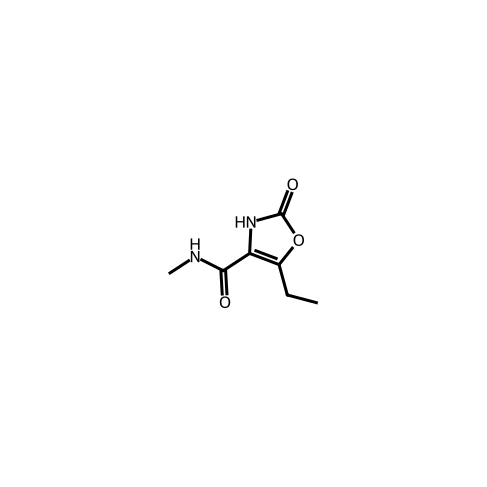 CCc1oc(=O)[nH]c1C(=O)NC